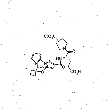 CCOC(=O)N1CCN(C(=O)[C@H](CCC(=O)O)NC(=O)c2cc(OC3(C(=O)OCC)CCC3)n(-c3nccs3)n2)CC1